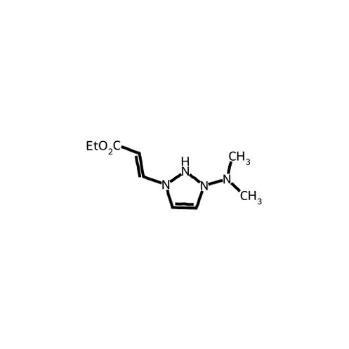 CCOC(=O)C=CN1C=CN(N(C)C)N1